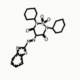 O=C1C(N=Nc2nc3ccccc3s2)C(=O)N(C2CCCCC2)S(=O)(=O)N1C1CCCCC1